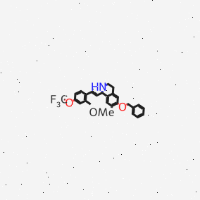 COc1cc2c(cc1OCc1ccccc1)CCNC2C=Cc1ccc(OC(F)(F)F)cc1C